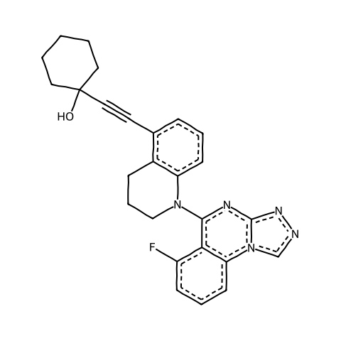 OC1(C#Cc2cccc3c2CCCN3c2nc3nncn3c3cccc(F)c23)CCCCC1